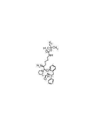 CC(C)(C)OC(=O)NCCCC[C@H](N)C(=O)N1CCC[C@H]1C(=O)N[C@@H](Cc1ccccn1)c1ccccc1